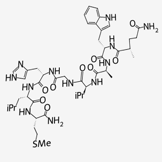 CSCC[C@H](NC(=O)[C@H](CC(C)C)NC(=O)[C@H](Cc1c[nH]cn1)NC(=O)CNC(=O)[C@@H](NC(=O)[C@H](C)NC(=O)[C@H](Cc1c[nH]c2ccccc12)NC(=O)[C@@H](C)CCC(N)=O)C(C)C)C(N)=O